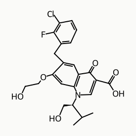 CC(C)[C@@H](CO)n1cc(C(=O)O)c(=O)c2cc(Cc3cccc(Cl)c3F)c(OCCO)cc21